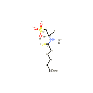 CCCCCCCCCCCCCCC(=S)NC(C)(C)CS(=O)(=O)[O-].[K+]